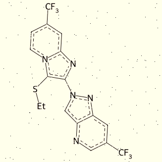 CCSc1c(-n2cc3ncc(C(F)(F)F)cc3n2)nc2cc(C(F)(F)F)ccn12